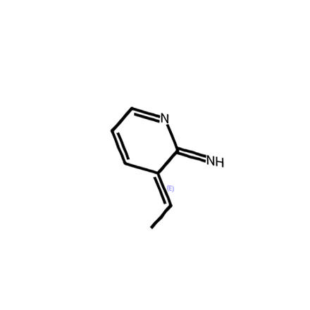 C/C=C1\C=CC=NC1=N